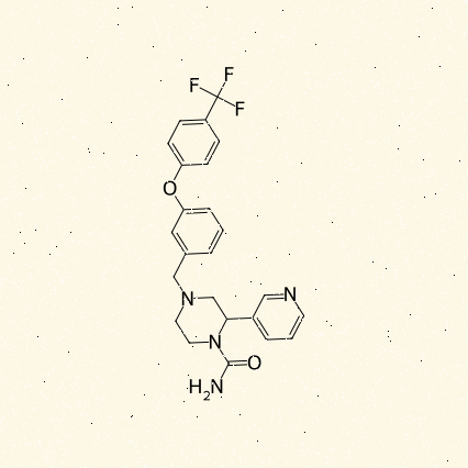 NC(=O)N1CCN(Cc2cccc(Oc3ccc(C(F)(F)F)cc3)c2)CC1c1cccnc1